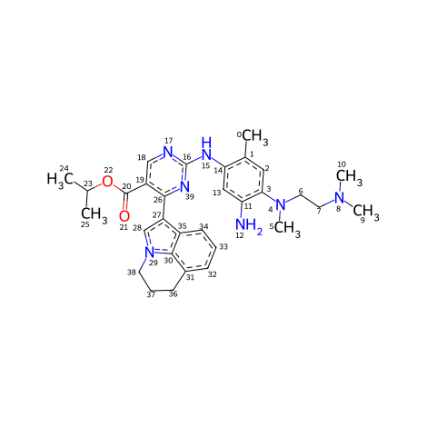 Cc1cc(N(C)CCN(C)C)c(N)cc1Nc1ncc(C(=O)OC(C)C)c(-c2cn3c4c(cccc24)CCC3)n1